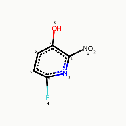 O=[N+]([O-])c1nc(F)ccc1O